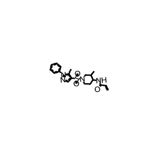 C=CC(=O)NC1CCN(S(=O)(=O)c2cnn(-c3ccccc3)c2C)CC1C